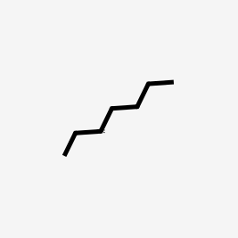 CC[C]CCCC